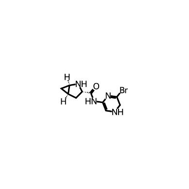 O=C(NC1=CNCC(Br)=N1)[C@@H]1C[C@H]2C[C@H]2N1